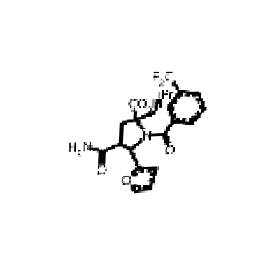 CC(C)CC1(C(=O)O)CC(C(N)=O)C(c2ccco2)N1C(=O)c1cccc(C(F)(F)F)c1